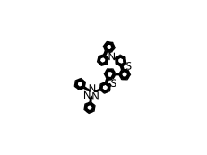 c1ccc(-c2nc(-c3ccccc3)nc(-c3ccc4sc5c(-c6cccc7sc8ccc(-n9c%10ccccc%10c%10ccccc%109)cc8c67)cccc5c4c3)n2)cc1